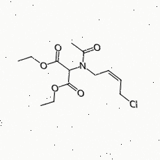 CCOC(=O)C(C(=O)OCC)N(C/C=C\CCl)C(C)=O